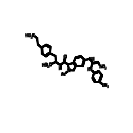 CC(=O)N1Cc2cc(NC(=C[N+](=O)[O-])Nc3ccc(C)cc3)ccc2C1C(=O)NC(Cc1ccc(CCC(=O)O)cc1)C(=O)O